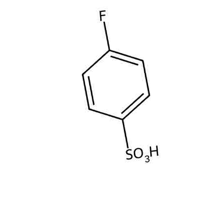 O=S(=O)(O)c1ccc(F)cc1